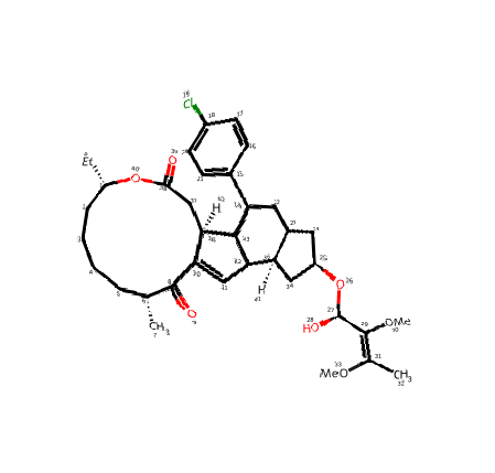 CC[C@H]1CCCC[C@@H](C)C(=O)C2=CC3C(C(c4ccc(Cl)cc4)CC4C[C@@H](O[C@H](O)/C(OC)=C(/C)OC)C[C@H]43)[C@@H]2CC(=O)O1